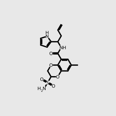 C=CCC(NC(=O)c1cc(C)cc2c1OCC(S(N)(=O)=O)O2)c1ccc[nH]1